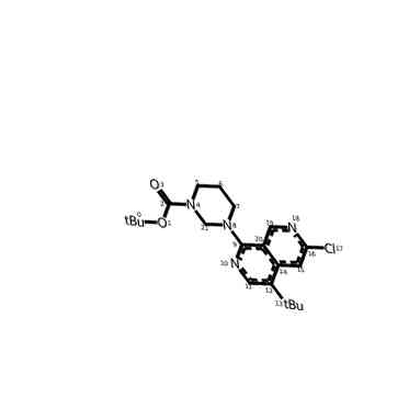 CC(C)(C)OC(=O)N1CCCN(c2ncc(C(C)(C)C)c3cc(Cl)ncc23)C1